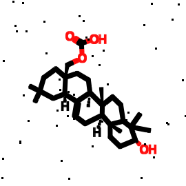 CC1(C)CC[C@]2(COC(=O)O)CC[C@]3(C)C(=CC[C@@H]4[C@@]5(C)CC[C@H](O)C(C)(C)C5CC[C@]43C)[C@H]2C1